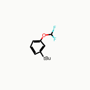 CC(C)(C)c1cccc(OC(F)F)c1